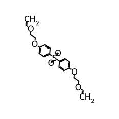 C=COCCOc1ccc(S(=O)(=O)c2ccc(OCCOC=C)cc2)cc1